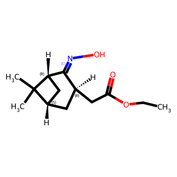 CCOC(=O)C[C@H]1C[C@H]2C[C@@H](/C1=N/O)C2(C)C